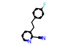 N#Cc1ncccc1CCc1ccc(F)cc1